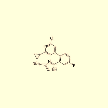 N#Cc1c[nH]c(-c2cc(F)ccc2-c2cc(Cl)nc(C3CC3)c2)n1